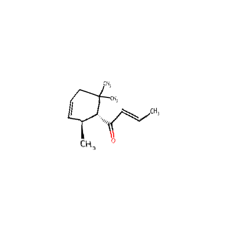 CC=CC(=O)[C@@H]1[C@@H](C)C=CCC1(C)C